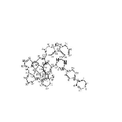 c1ccc(-c2ccc(-c3nc(-c4cccc5c4sc4ccccc45)nc(-c4cccc5oc6ccc(-c7ccc8c(c7)-c7ccccc7C87c8ccccc8-c8ccccc87)cc6c45)n3)cc2)cc1